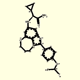 NC(=O)[C@@H](Nc1cc2c3c(c1)nc(-c1ccc(OC(F)F)cc1)n3CCCO2)C1CC1